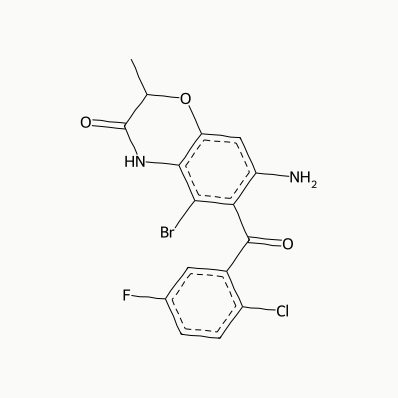 CC1Oc2cc(N)c(C(=O)c3cc(F)ccc3Cl)c(Br)c2NC1=O